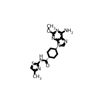 COc1nc(N)c2ncn([C@H]3CC[C@@H](C(=O)Nc4nc(C)cs4)CC3)c2n1